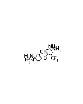 NC1(N)C=CC(OC2=C(C(F)(F)F)CC(N)(N)C=C2)=C(C(F)(F)F)C1